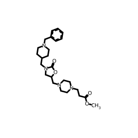 COC(=O)CCN1CCN(CC2CN(CC3CCN(Cc4ccccc4)CC3)C(=O)O2)CC1